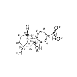 O=[SH](=O)c1ccc(C2C[C@H]3CC[C@@H]2C[C@H](O)C3)cc1